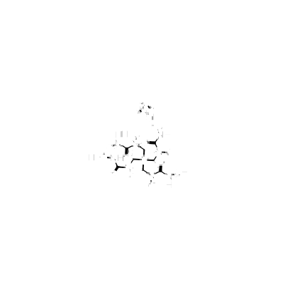 CNC(=O)N(C)C[P+](CN(C)C(=O)NC)(CN(C)C(=O)NC)CN(C)C(=O)NC.O=S(=O)([O-])O